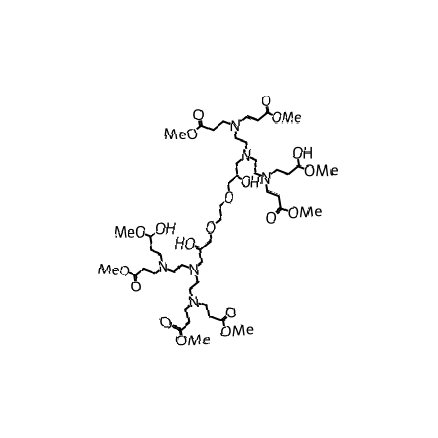 COC(=O)CCN(CCC(=O)OC)CCN(CCN(CCC(=O)OC)CCC(O)OC)CC(O)COCCOCC(O)CN(CCN(CCC(=O)OC)CCC(=O)OC)CCN(CCC(=O)OC)CCC(O)OC